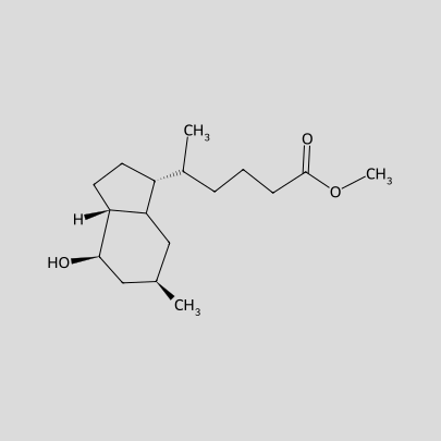 COC(=O)CCCC(C)[C@H]1CC[C@@H]2C1C[C@@H](C)C[C@H]2O